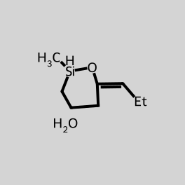 CCC=C1CCC[SiH](C)O1.O